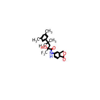 Cc1cc(C)cc(C(C)(C)CC(O)(C(=O)Nc2ccc3c(c2)COC3=O)C(F)(F)F)c1